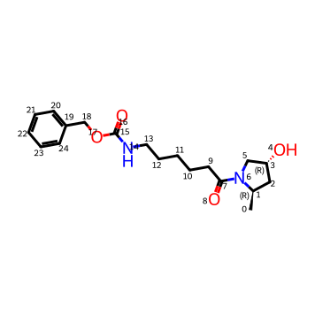 C[C@@H]1C[C@@H](O)CN1C(=O)CCCCCNC(=O)OCc1ccccc1